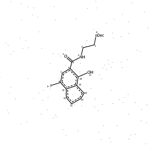 CCCCCCCCCCCCNC(=O)c1cc(I)c2ccccc2c1O